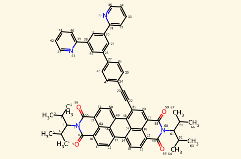 CC(C)C(C(C)C)N1C(=O)c2ccc3c4ccc5c6c(cc(C#Cc7ccc(-c8cc(-c9ccccn9)cc(-c9ccccn9)c8)cc7)c(c7ccc(c2c37)C1=O)c64)C(=O)N(C(C(C)C)C(C)C)C5=O